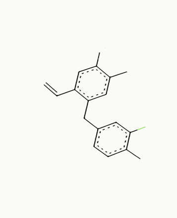 C=Cc1cc(C(C)C)c(C)cc1Cc1ccc(C)c(F)c1